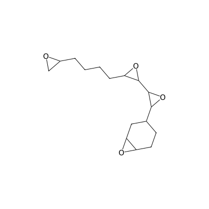 C(CCC1OC1C1OC1C1CCC2OC2C1)CC1CO1